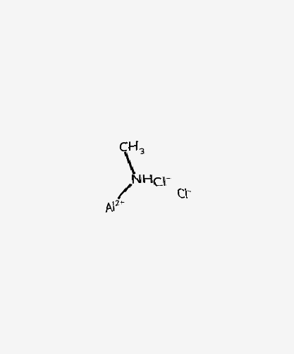 C[NH][Al+2].[Cl-].[Cl-]